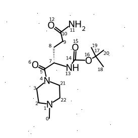 CN1CCN(C(=O)[C@H](CCC(N)=O)NC(=O)OC(C)(C)C)CC1